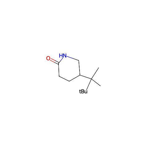 CC(C)(C)C(C)(C)C1CCC(=O)NC1